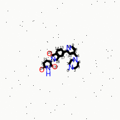 CN1CCCN(Cc2ccnc(-c3ccc4c(c3)CN(C3CCC(=O)NC3=O)C4=O)c2)CC1